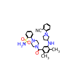 Cc1cc(C)c(C(=O)N2CCN(c3ccccc3S(N)(=O)=O)CC2)cc1NC1CCN(c2ccccc2C#N)C1